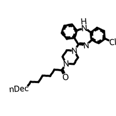 CCCCCCCCCCCCCCCC(=O)N1CCN(C2=Nc3cc(Cl)ccc3Nc3ccccc32)CC1